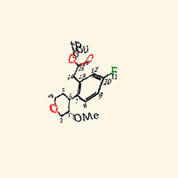 CO[C@@H]1COCC[C@H]1c1ccc(F)cc1CC(=O)OC(C)(C)C